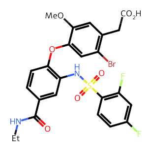 CCNC(=O)c1ccc(Oc2cc(Br)c(CC(=O)O)cc2OC)c(NS(=O)(=O)c2ccc(F)cc2F)c1